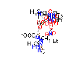 CC/C=C/C1CC(=O)N(CCOCCC(=O)N[C@H](C(=O)N[C@@H](C)C(=O)Nc2ccc(C[N+](C)(C)CC#Cc3ccc(OCCCc4sc(N(C)c5cc(C)c(Nc6nc7ccccc7s6)nn5)nc4C(=O)[O-])c(F)c3)c(CC[C@@H]3O[C@H](C(=O)O)[C@@H](O)[C@H](O)[C@H]3O)c2)C(C)C)C1=O